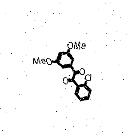 COc1cc(OC)cc(C(=O)C(=O)c2ccccc2Cl)c1